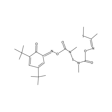 CSC(C)=NOC(=O)N(C)SN(C)C(=O)ON=C1C=C(C(C)(C)C)C=C(C(C)(C)C)C1=O